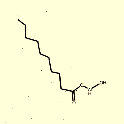 CCCCCCCCCC(=O)[O][AlH][OH]